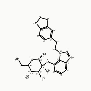 OC[C@H]1O[C@@H](O)[C@@](O)(Oc2cccc3ncn(CCc4ccc5c(c4)CCO5)c23)[C@@H](O)[C@@H]1O